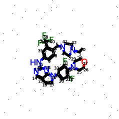 CCN1CCN(Cc2ccc(Nc3ncc4ccn(-c5cc(F)c(N6CCOCC6)c(F)c5)c4n3)cc2C(F)(F)F)CC1